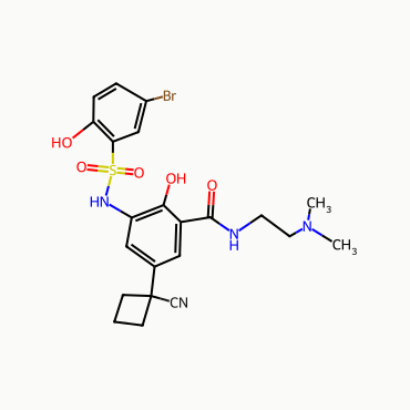 CN(C)CCNC(=O)c1cc(C2(C#N)CCC2)cc(NS(=O)(=O)c2cc(Br)ccc2O)c1O